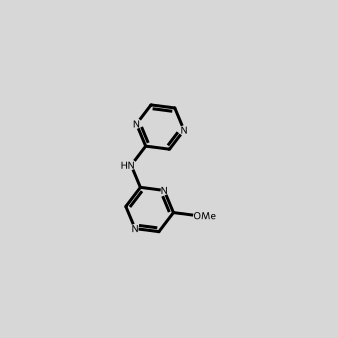 COc1cncc(Nc2cnccn2)n1